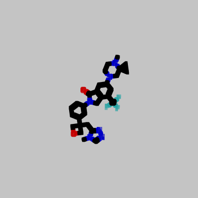 CN1CCN(c2cc3c(c(C(F)(F)F)c2)CN(c2cccc(C4(Cc5nncn5C)COC4)c2)C3=O)CC12CC2